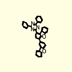 c1ccc(-c2nc(-c3ccccc3)nc(-c3ccc(-c4ccc5oc6ccccc6c5c4)c4oc5ccccc5c34)n2)cc1